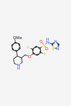 COc1ccc(C2CCNCC2COc2cc(F)c(S(=O)(=O)Nc3ncns3)cc2F)cc1